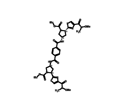 CON(C)C(=O)c1csc([C@@H]2C[C@H](NC(=O)c3ccc(C(=O)N[C@H]4C[C@@H](c5nc(C(=O)N(C)OC)cs5)N(C(=O)OC(C)(C)C)C4)cc3)CN2C(=O)OC(C)(C)C)n1